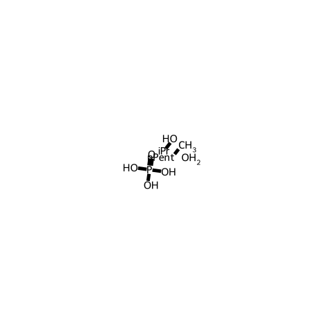 CC(C)O.CCCCCC.O.O=P(O)(O)O